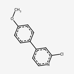 COc1ccc(-c2ccnc(Cl)c2)cc1